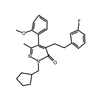 COc1ccccc1-c1c(C)nn(CC2CCCC2)c(=O)c1CCc1cccc(F)c1